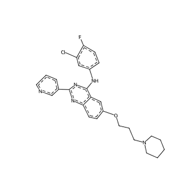 Fc1ccc(Nc2nc(-c3cccnc3)nc3ccc(OCCCN4CCCCC4)cc23)cc1Cl